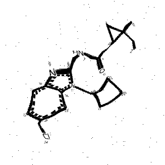 CC1(C)C[C@@H]1C(=O)Nc1nc2ccc(Cl)cc2n1C1CCC1